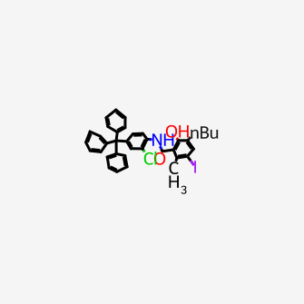 CCCCc1cc(I)c(C)c(C(=O)Nc2ccc(C(c3ccccc3)(c3ccccc3)c3ccccc3)cc2Cl)c1O